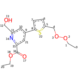 CCOOCc1ccc(-c2cc(CO)nc(C(=O)OCC)c2)s1